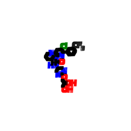 O=C(Nc1cnc(OC[C@@H](O)CO)nc1)N1c2nc(-c3cccc(C(F)(F)F)c3)c(Cl)cc2N2CCC[C@H]1C2